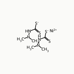 CN(C)NC(=S)[S-].CN(C)NC(=S)[S-].[Ni+2]